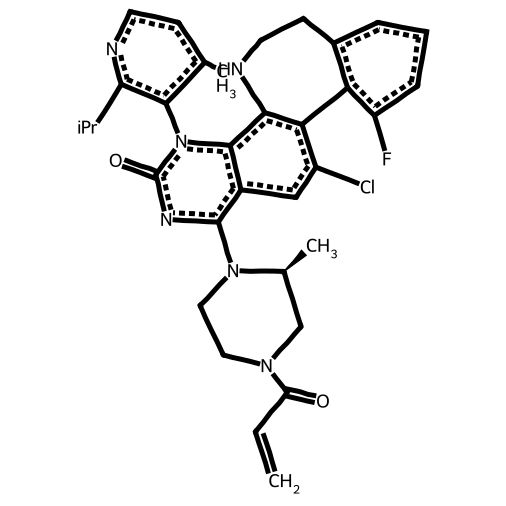 C=CC(=O)N1CCN(c2nc(=O)n(-c3c(C)ccnc3C(C)C)c3c4c(c(Cl)cc23)-c2c(F)cccc2CCN4)[C@@H](C)C1